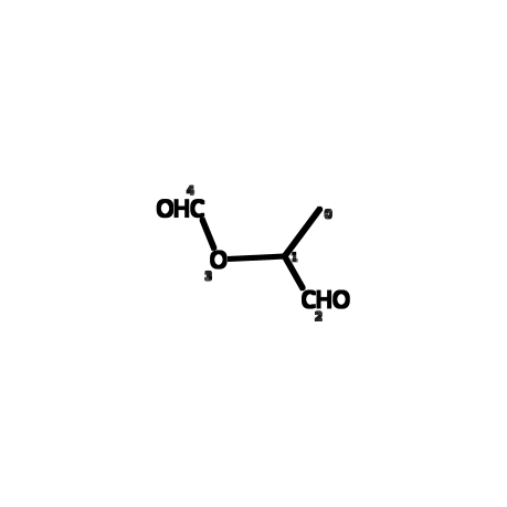 CC(C=O)OC=O